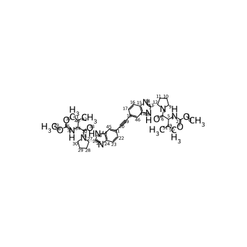 COC(=O)NC(C(=O)N1CCC[C@H]1c1nc2ccc(C#Cc3ccc4nc([C@@H]5CCCN5C(=O)[C@@H](NC(=O)OC)C(C)C)[nH]c4c3)cc2[nH]1)C(C)C